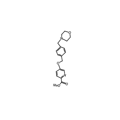 COC(=O)c1ccc(OCc2ccc(CN3CCOCC3)cc2)cn1